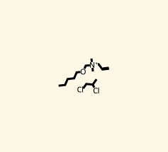 C=CC[N+](C)(C)COCCCCC.CC(Cl)CCl